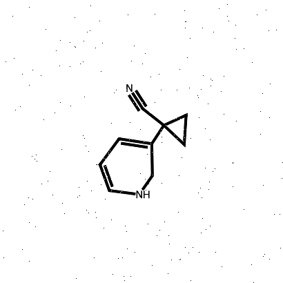 N#CC1(C2=C[C]=CNC2)CC1